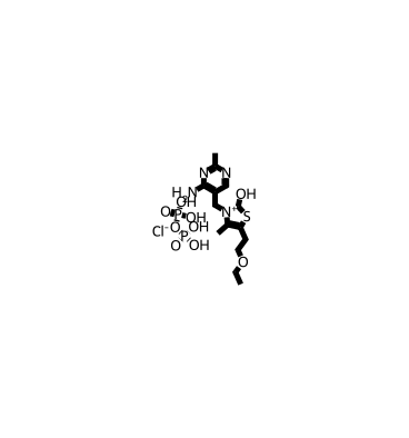 CCOCCc1sc(O)[n+](Cc2cnc(C)nc2N)c1C.O=P(O)(O)OP(=O)(O)O.[Cl-]